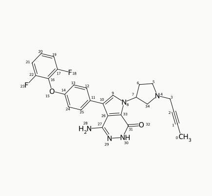 CC#CCN1CCC(n2cc(-c3ccc(Oc4c(F)cccc4F)cc3)c3c(N)n[nH]c(=O)c32)C1